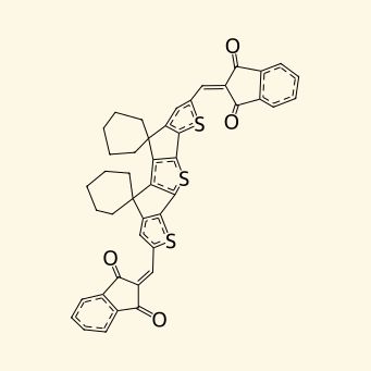 O=C1C(=Cc2cc3c(s2)-c2sc4c(c2C32CCCCC2)C2(CCCCC2)c2cc(C=C3C(=O)c5ccccc5C3=O)sc2-4)C(=O)c2ccccc21